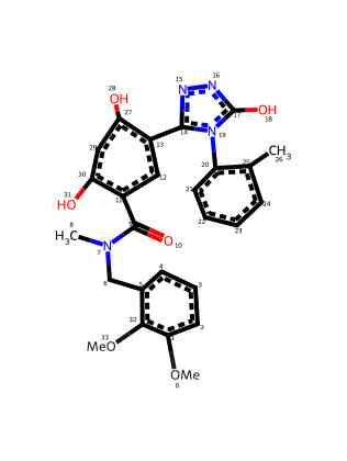 COc1cccc(CN(C)C(=O)c2cc(-c3nnc(O)n3-c3ccccc3C)c(O)cc2O)c1OC